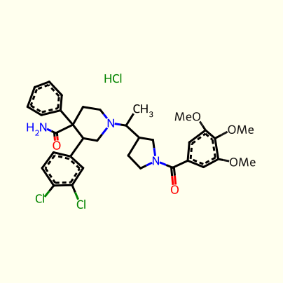 COc1cc(C(=O)N2CCC(C(C)N3CCC(C(N)=O)(c4ccccc4)C(c4ccc(Cl)c(Cl)c4)C3)C2)cc(OC)c1OC.Cl